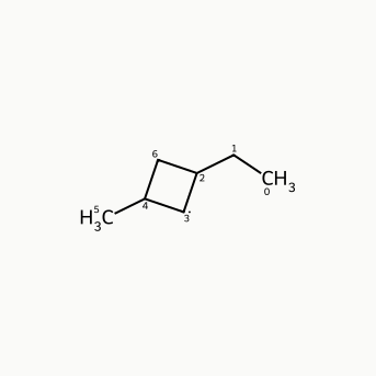 CCC1[CH]C(C)C1